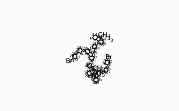 CC1(C)c2ccccc2-c2c(-c3cccc(CC4c5ccc(-c6cccc(-c7ccc(Br)cc7)c6)cc5-c5cc(-c6ccc7c(c6)C(C)(C)c6c-7cccc6-n6c7ccccc7c7cc(-c8cccc(-c9c#cc(Br)cc9)c8)ccc76)ccc54)c3)cccc21